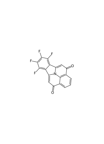 O=c1cc2c3c(F)c(F)c(F)c(F)c3c3cc(=O)c4cccc1c4n23